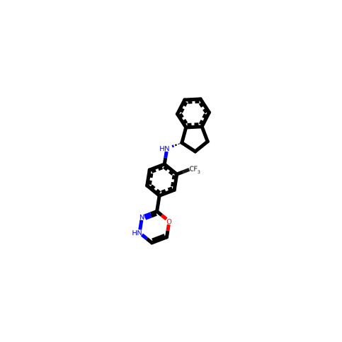 FC(F)(F)c1cc(C2=NNC=CO2)ccc1N[C@H]1CCc2ccccc21